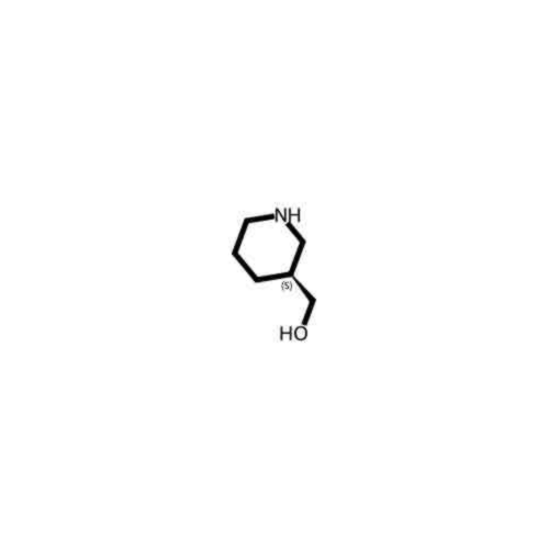 OC[C@H]1CCCNC1